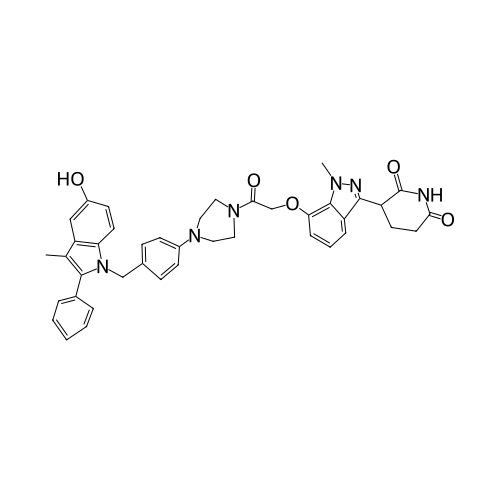 Cc1c(-c2ccccc2)n(Cc2ccc(N3CCN(C(=O)COc4cccc5c(C6CCC(=O)NC6=O)nn(C)c45)CC3)cc2)c2ccc(O)cc12